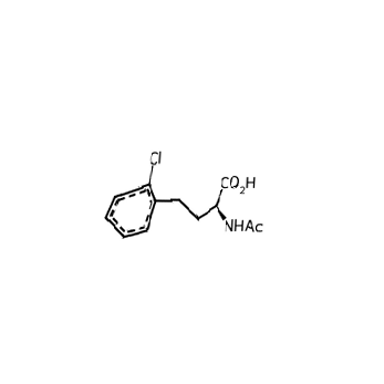 CC(=O)N[C@@H](CCc1ccccc1Cl)C(=O)O